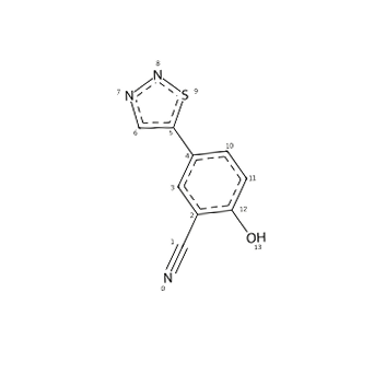 N#Cc1cc(-c2cnns2)ccc1O